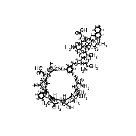 CC(=O)[C@@H](C)NC(=O)[C@H](Cc1cccc2ccccc12)NC(=O)[C@H](CCC(=O)O)NC(=O)[C@H](CC(N)=O)NC(=O)[C@@H](C)NC(=O)[C@H](CSCc1cc2cc(c1)CSC[C@@H](C(N)=O)NC(=O)[C@H](C(C)(C)C)NC(=O)[C@H](CC(=O)O)NC(=O)[C@H](CC(C)[C@@H](C)O)NC(=O)[C@H](Cc1ccccc1)NC(=O)[C@H](CC(=O)O)NC(=O)[C@H](CCC(=O)O)NC(=O)[C@H](N)CSC2)NC(=O)[C@H](C)N